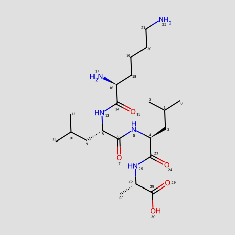 CC(C)C[C@H](NC(=O)[C@H](CC(C)C)NC(=O)[C@@H](N)CCCCN)C(=O)N[C@@H](C)C(=O)O